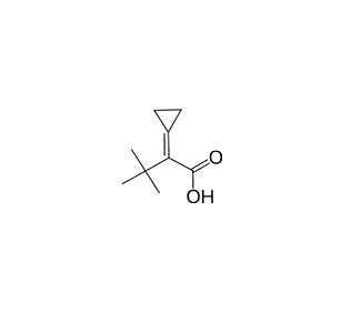 CC(C)(C)C(C(=O)O)=C1CC1